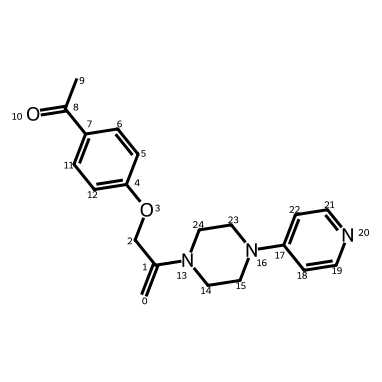 C=C(COc1ccc(C(C)=O)cc1)N1CCN(c2ccncc2)CC1